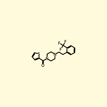 O=C(c1cccs1)N1CCN(CCc2ccccc2C(F)(F)F)CC1